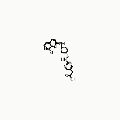 O=C(O)Cc1cnc(NC[C@H]2CC[C@H](Nc3ccc4ccnc(Cl)c4n3)CC2)nc1